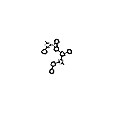 Cc1nc(-c2cccc(-c3ccccc3)c2)nc(-c2cc(-c3ccccc3)cc(-c3ccc4c(c3)c3ccccc3n4-c3nc(C)nc(-c4ccccc4)n3)c2)n1